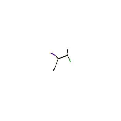 [CH2]C(I)C(C)Br